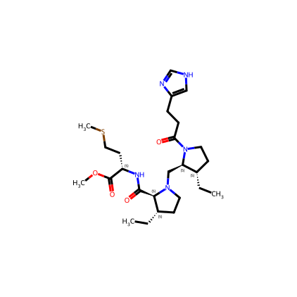 CC[C@H]1CCN(C[C@@H]2[C@@H](CC)CCN2C(=O)CCc2c[nH]cn2)[C@@H]1C(=O)N[C@@H](CCSC)C(=O)OC